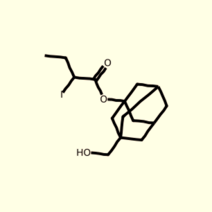 CCC(I)C(=O)OC12CC3CC(CC(CO)(C3)C1)C2